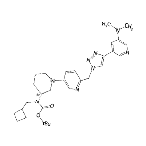 CN(C)c1cncc(-c2cn(Cc3ccc(N4CCC[C@@H](N(CC5CCC5)C(=O)OC(C)(C)C)C4)cn3)nn2)c1